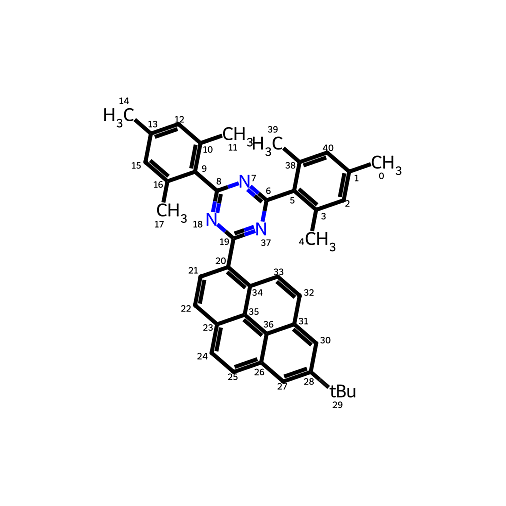 Cc1cc(C)c(-c2nc(-c3c(C)cc(C)cc3C)nc(-c3ccc4ccc5cc(C(C)(C)C)cc6ccc3c4c56)n2)c(C)c1